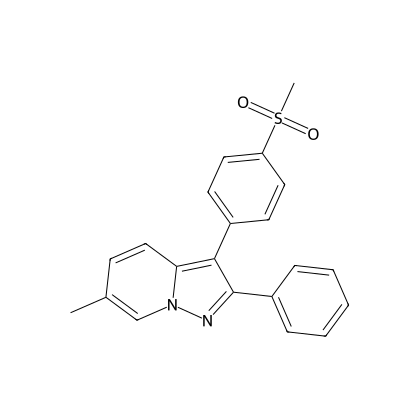 Cc1ccc2c(-c3ccc(S(C)(=O)=O)cc3)c(-c3ccccc3)nn2c1